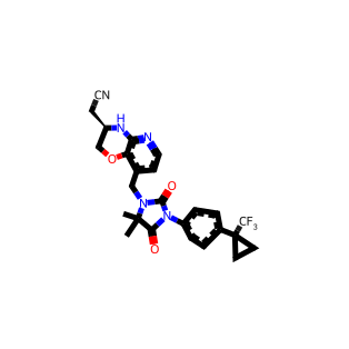 CC1(C)C(=O)N(c2ccc(C3(C(F)(F)F)CC3)cc2)C(=O)N1Cc1ccnc2c1OC[C@@H](CC#N)N2